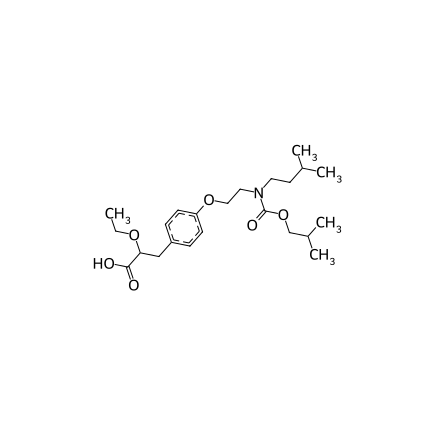 CCOC(Cc1ccc(OCCN(CCC(C)C)C(=O)OCC(C)C)cc1)C(=O)O